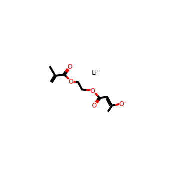 C=C(C)C(=O)OCCOC(=O)/C=C(\C)[O-].[Li+]